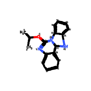 CC(C)OC1=Nc2ccccc2C2Nc3ccccc3N12